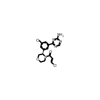 Nc1ncnc(-c2cc(Cl)cc([C@@H]3COCCN3C(=O)/C=C/Cl)c2)n1